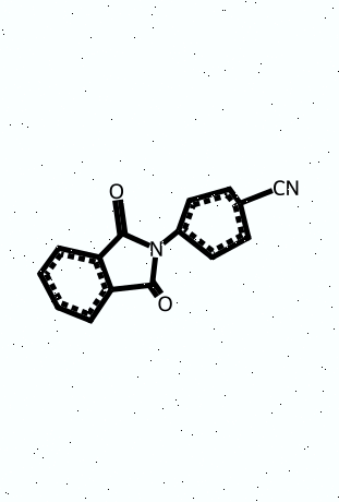 N#Cc1ccc(N2C(=O)c3ccccc3C2=O)cc1